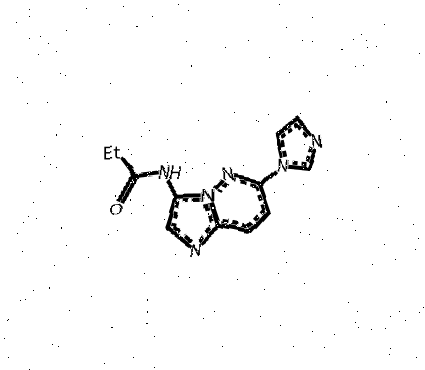 CCC(=O)Nc1cnc2ccc(-n3ccnc3)nn12